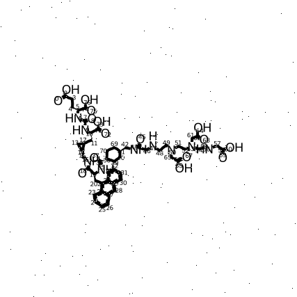 O=C(O)CC[C@H](NC(=O)N[C@@H](CC1C[C@H]1CNC(=O)[C@H](Cc1c2ccccc2cc2ccccc12)NC(=O)[C@H]1CC[C@H](CNC(=O)CNCCN(CCN(CCNCC(=O)O)CC(=O)O)CC(=O)O)CC1)C(=O)O)C(=O)O